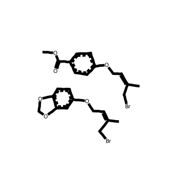 CC(=CCOc1ccc2c(c1)OCO2)CBr.COC(=O)c1ccc(OCC=C(C)CBr)cc1